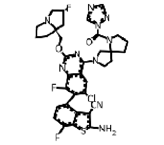 N#Cc1c(N)sc2c(F)ccc(-c3c(Cl)cc4c(N5CCC6(CCCN6C(=O)n6cncn6)C5)nc(OC[C@@]56CCCN5C[C@H](F)C6)nc4c3F)c12